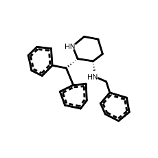 c1ccc(CN[C@H]2CCCN[C@H]2C(c2ccccc2)c2ccccc2)cc1